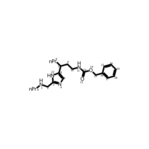 CCCNCc1ncc(C(CCC)CCNC(=O)OCc2ccccc2)[nH]1